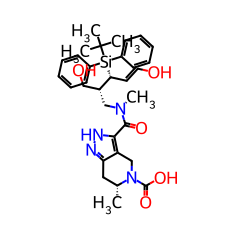 C[C@@H]1Cc2n[nH]c(C(=O)N(C)C[C@H](CO)[C@@H](C=CO)[Si](c3ccccc3)(c3ccccc3)C(C)(C)C)c2CN1C(=O)O